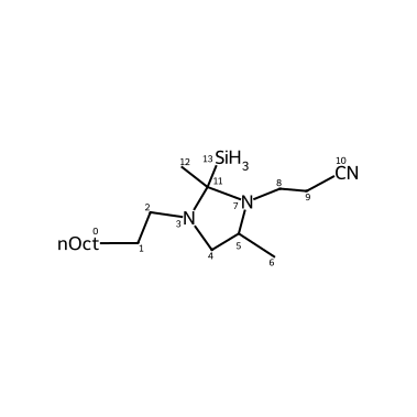 CCCCCCCCCCN1CC(C)N(CCC#N)C1(C)[SiH3]